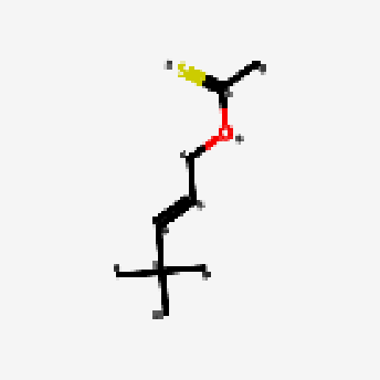 CC(=S)OC/C=C/C(C)(C)C